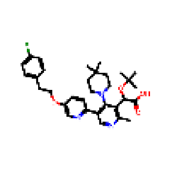 Cc1ncc(-c2ccc(OCCc3ccc(F)cc3)cn2)c(N2CCC(C)(C)CC2)c1C(OC(C)(C)C)C(=O)O